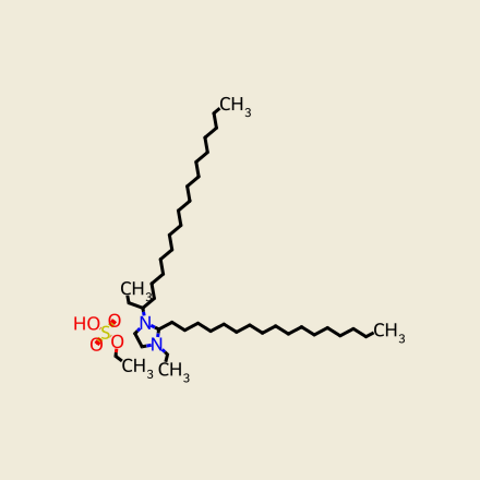 CCCCCCCCCCCCCCCCCC(CC)N1CCN(CC)C1CCCCCCCCCCCCCCCCC.CCOS(=O)(=O)O